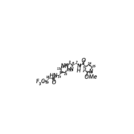 COc1cc(C(=O)NCc2cn3ncc(CNC(=O)CCC(F)(F)F)cc3n2)ccn1